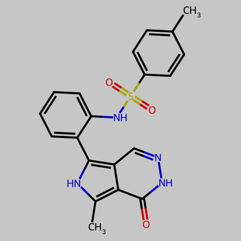 Cc1ccc(S(=O)(=O)Nc2ccccc2-c2[nH]c(C)c3c(=O)[nH]ncc23)cc1